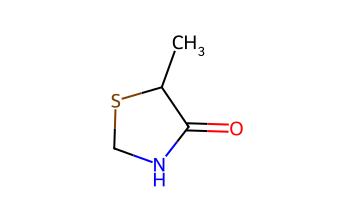 CC1SCNC1=O